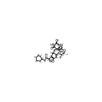 C[C@@H]1O[C@H](C)C(F)N2c3cc4onc(NCC5CCCCC5)c4cc3CC3(C(=O)NC(=O)NC3=O)[C@@H]12